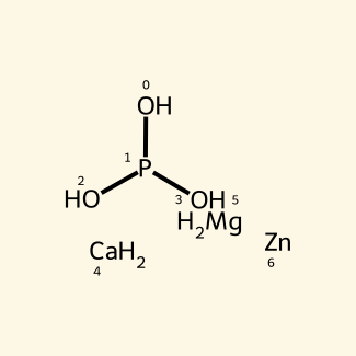 OP(O)O.[CaH2].[MgH2].[Zn]